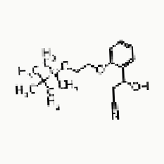 CC(C)(C)[Si](C)(C)OCCOc1ccccc1C(O)CC#N